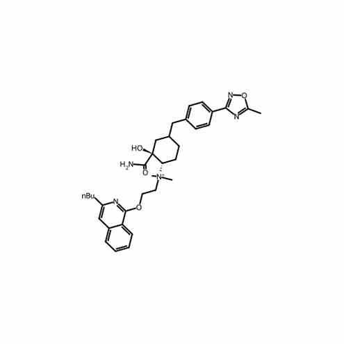 CCCCc1cc2ccccc2c(OCC[N+](C)(C)[C@H]2CCC(Cc3ccc(-c4noc(C)n4)cc3)C[C@@]2(O)C(N)=O)n1